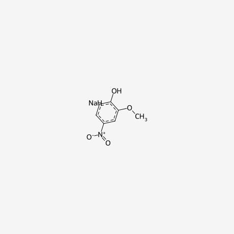 COc1cc([N+](=O)[O-])ccc1O.[NaH]